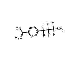 C=C(N=O)c1ccc(C(F)(F)C(F)(F)C(F)(F)C(F)(F)F)cn1